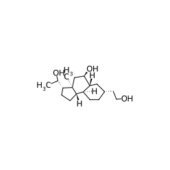 CC(O)[C@H]1CC[C@H]2[C@@H]3CC[C@@H](CCO)C[C@H]3[C@H](O)C[C@]12C